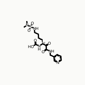 CN(C)S(=O)(=O)NCCCC[C@H](NC(=O)O)C(=O)C(=O)NCc1cccnc1